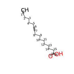 C#CCCCCC#CCCCCCCCCC(=O)O